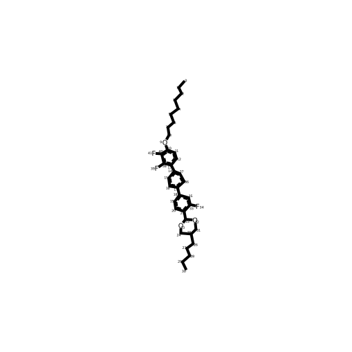 CCCCCCCCCOc1ccc(-c2ccc(-c3ccc(C4OCC(CCCCC)CO4)c(F)c3)cc2)c(F)c1F